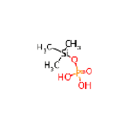 C[Si](C)(C)OP(=O)(O)O